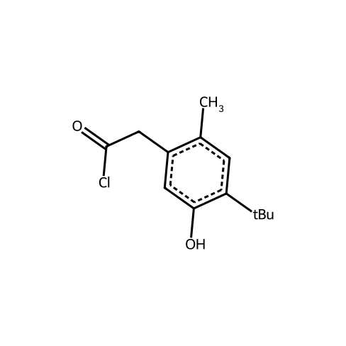 Cc1cc(C(C)(C)C)c(O)cc1CC(=O)Cl